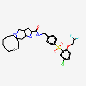 O=C(NCc1ccc(S(=O)(=O)c2cc(Cl)ccc2OCC(F)F)cc1)C1CC2CNC3(CCCCCCCCC3)CC2N1